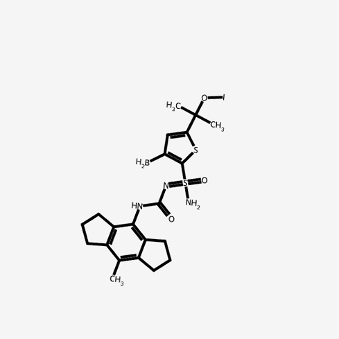 Bc1cc(C(C)(C)OI)sc1S(N)(=O)=NC(=O)Nc1c2c(c(C)c3c1CCC3)CCC2